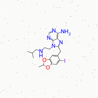 CC(C)CNCCn1c(Cc2cc3c(cc2I)OC(C)O3)nc2c(N)ncnc21